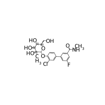 CNC(=O)c1cc(F)cc(-c2ccc(OC3O[C@H](CO)[C@@H](O)[C@H](O)[C@]3(C)O)c(Cl)c2)c1